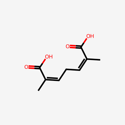 CC(=CCC=C(C)C(=O)O)C(=O)O